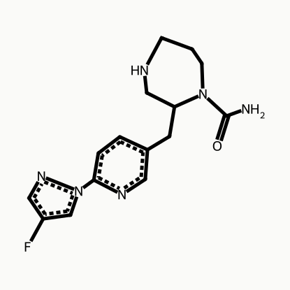 NC(=O)N1CCCNCC1Cc1ccc(-n2cc(F)cn2)nc1